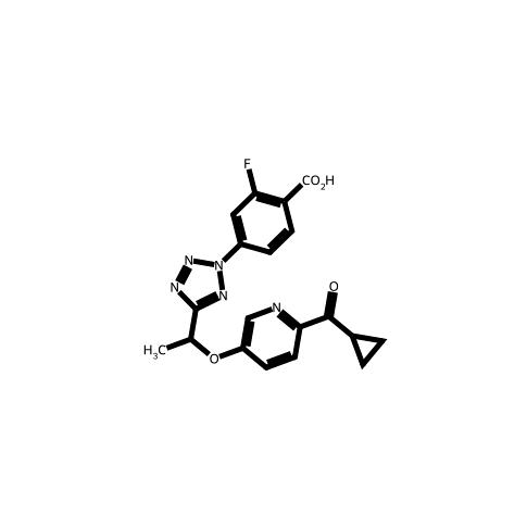 CC(Oc1ccc(C(=O)C2CC2)nc1)c1nnn(-c2ccc(C(=O)O)c(F)c2)n1